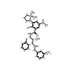 CCNc1cc(C(=O)N[C@@H](Cc2ccccc2)[C@H](O)CNCc2cccc(C(F)(F)F)c2)c(F)c(N2CCCS2(O)O)c1